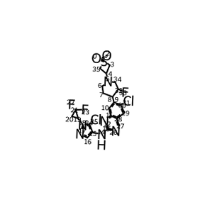 O=S1(=O)CC(N2CCC(c3cc4nc(Nc5cnn(C6CC6(F)F)c5Cl)ncc4cc3Cl)C(F)C2)C1